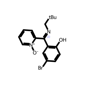 CC(C)(C)C/N=C(/c1cc(Br)ccc1O)c1cccc[n+]1[O-]